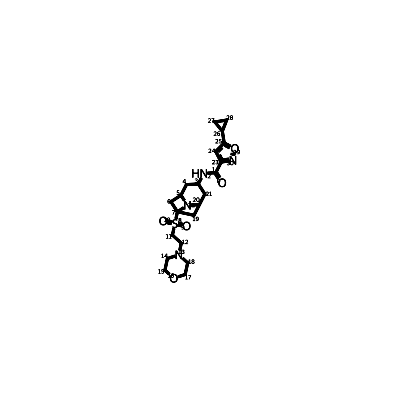 O=C(NC1CC2CC3(S(=O)(=O)CCN4CCOCC4)CC(C1)N23)c1cc(C2CC2)on1